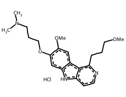 COCCCc1nccc2[nH]c3cc(OCCCN(C)C)c(OC)cc3c12.Cl